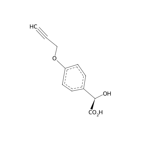 C#CCOc1ccc([C@@H](O)C(=O)O)cc1